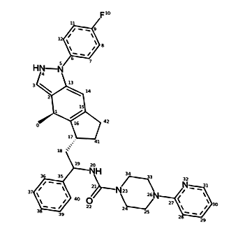 C[C@H]1C2=CNN(c3ccc(F)cc3)C2=CC2=C1[C@@H](CC(NC(=O)N1CCN(c3ccccn3)CC1)c1ccccc1)CC2